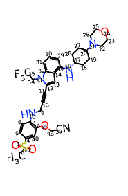 CS(=O)(=O)c1ccc(NCC#Cc2cc3c(N[C@H]4CC[C@H](N5CCOCC5)CC4)cccc3n2CC(F)(F)F)c(OCC#N)c1